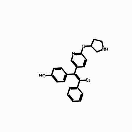 CCC(=C(c1ccc(O)cc1)c1ccc(OC2CCNC2)nc1)c1ccccc1